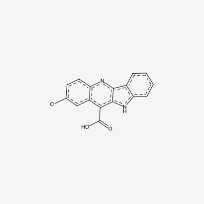 O=C(O)c1c2cc(Cl)ccc2nc2c1[nH]c1ccccc12